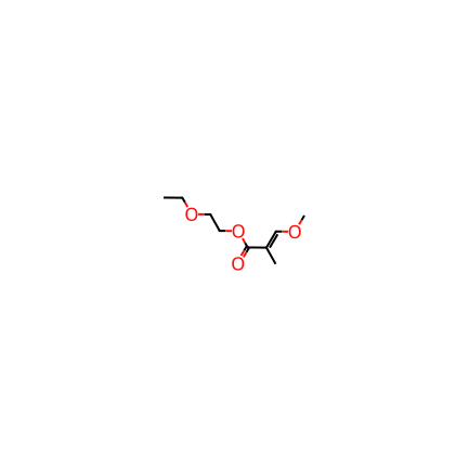 CCOCCOC(=O)C(C)=COC